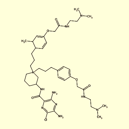 CC1C=C(OCC(=O)NCCN(C)C)C=CC1CCC[N+]1(CCCc2ccc(OCC(=O)NCCN(C)C)cc2)CCCC(NC(=O)c2nc(Cl)c(N)nc2N)C1